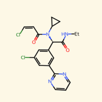 CCNC(=O)[C@@H](c1cc(Cl)cc(-c2ncccn2)c1)N(C(=O)/C=C\Cl)C1CC1